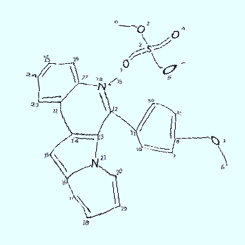 COS(=O)(=O)[O-].COc1ccc(-c2c3c(cc4ccccn43)c3ccccc3[n+]2C)cc1